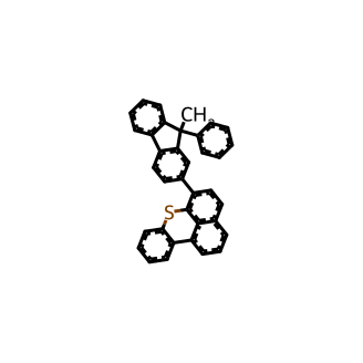 CC1(c2ccccc2)c2ccccc2-c2ccc(-c3ccc4cccc5c4c3Sc3ccccc3-5)cc21